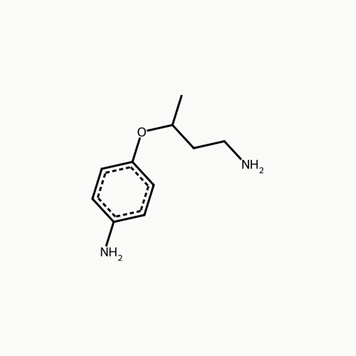 CC(CCN)Oc1ccc(N)cc1